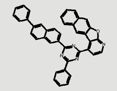 c1ccc(-c2ccc3cc(-c4nc(-c5ccccc5)nc(-c5ccnc6oc7cc8ccccc8cc7c56)n4)ccc3c2)cc1